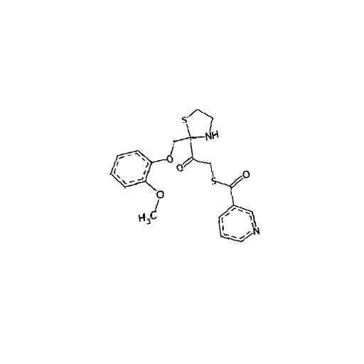 COc1ccccc1OCC1(C(=O)CSC(=O)c2cccnc2)NCCS1